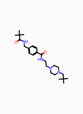 CC(C)(C)CN1CCN(CCNC(=O)c2ccc(CNC(=O)C(C)(C)C)cc2)CC1